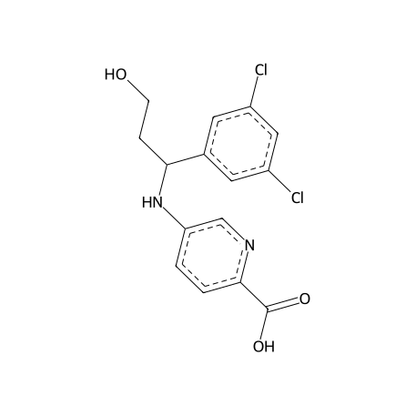 O=C(O)c1ccc(NC(CCO)c2cc(Cl)cc(Cl)c2)cn1